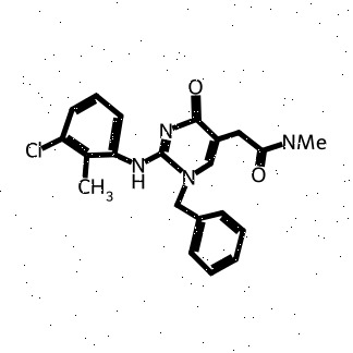 CNC(=O)Cc1cn(Cc2ccccc2)c(Nc2cccc(Cl)c2C)nc1=O